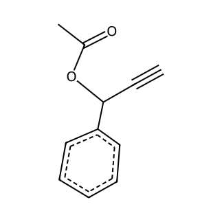 C#CC(OC(C)=O)c1ccccc1